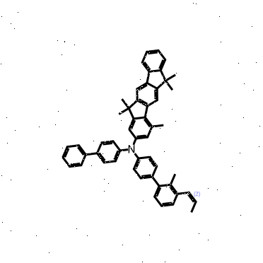 C/C=C\c1cccc(-c2ccc(N(c3ccc(-c4ccccc4)cc3)c3cc(C)c4c(c3)C(C)(C)c3cc5c(cc3-4)C(C)(C)c3ccccc3-5)cc2)c1C